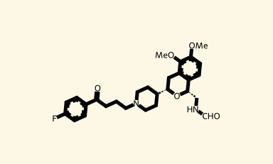 COc1ccc2c(c1OC)C[C@@H](C1CCN(CCCC(=O)c3ccc(F)cc3)CC1)O[C@H]2CNC=O